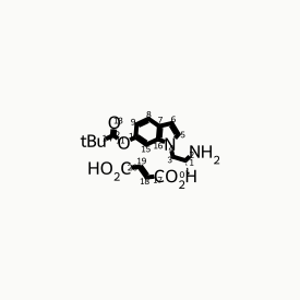 C[C@@H](N)Cn1ccc2ccc(OC(=O)C(C)(C)C)cc21.O=C(O)/C=C/C(=O)O